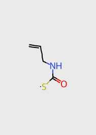 C=CCNC(=O)[S]